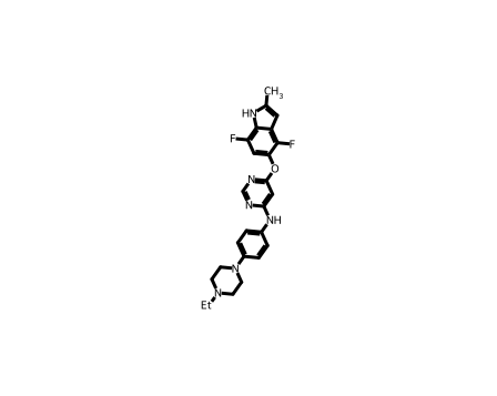 CCN1CCN(c2ccc(Nc3cc(Oc4cc(F)c5[nH]c(C)cc5c4F)ncn3)cc2)CC1